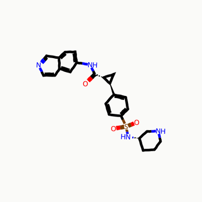 O=C(Nc1ccc2cnccc2c1)[C@@H]1C[C@H]1c1ccc(S(=O)(=O)N[C@H]2CCCNC2)cc1